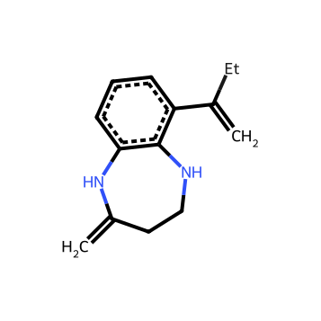 C=C1CCNc2c(cccc2C(=C)CC)N1